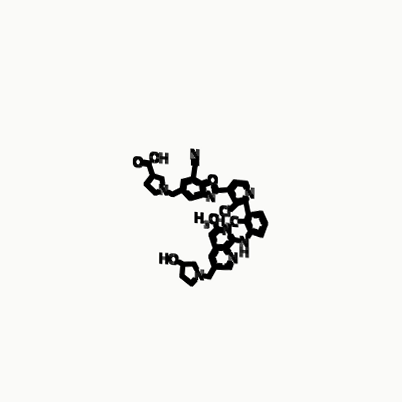 Cc1cc2cc(CN3CCC(O)C3)cnc2c(Nc2cccc(-c3nccc(-c4nc5cc(CN6CCC(C(=O)O)C6)cc(C#N)c5o4)c3Cl)c2C)n1